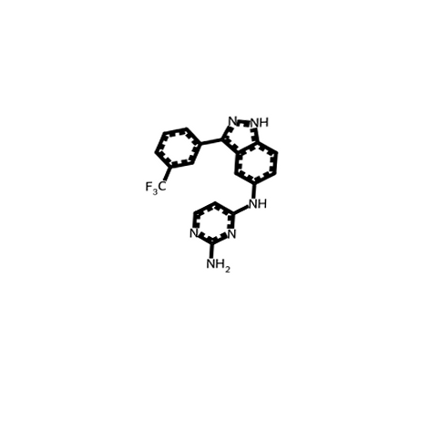 Nc1nccc(Nc2ccc3[nH]nc(-c4cccc(C(F)(F)F)c4)c3c2)n1